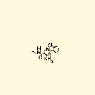 CCCNC(=O)c1cnc(-c2ccccc2Cl)nc1N